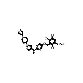 CCc1cc(OC)c(Cl)c(COc2cnc(Nc3cnn(C4CCN(C5COC5)CC4)c3)nc2)c1Cl